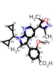 Cc1noc(C)c1-c1cnc2c(c1)c(-c1ccc(C(=O)O)cc1OC(C)C)c(C)n2C(C1CC1)C1CC1